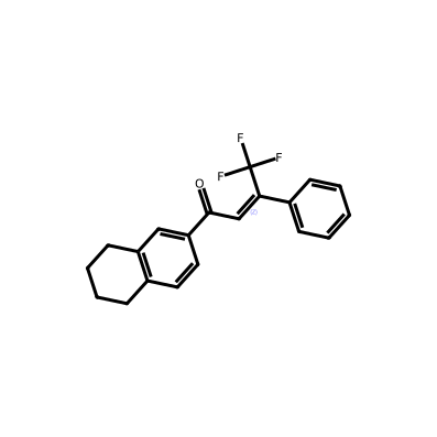 O=C(/C=C(/c1ccccc1)C(F)(F)F)c1ccc2c(c1)CCCC2